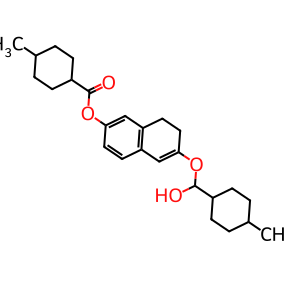 CC1CCC(C(=O)Oc2ccc3c(c2)CCC(OC(O)C2CCC(C)CC2)=C3)CC1